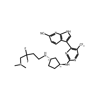 CN(C)CC(F)(F)CCN[C@H]1CC[C@H](Nc2ncc(C(F)(F)F)c(-c3c[nH]c4nc(C#N)ccc34)n2)C1